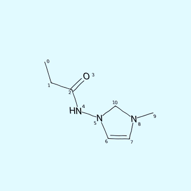 CCC(=O)NN1C=CN(C)C1